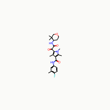 Cc1cc(NC(=O)c2c(C)c(C(=O)C(=O)NC3CCOCC3(C)C)n(C)c2C)ccc1F